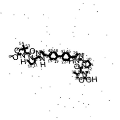 COC(=O)N[C@H](C(=O)N1CCCC1c1ncc(-c2ccc(-c3ccc(-c4cnc([C@@H]5CCCN5C(=O)[C@H](C(C)C)N(C)C(=O)O)[nH]4)cc3)cc2)[nH]1)C(C)(C)C